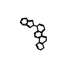 C1=CC(C2C=c3ccccc3=C2)c2ccc3c(c2=C1)=CCC1=C3C=CCC1